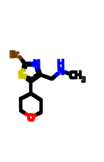 CNCc1nc(Br)sc1C1CCOCC1